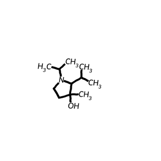 CC(C)C1N(C(C)C)CCC1(C)O